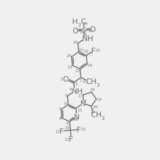 CC(C(=O)NCc1ccc(C(F)(F)F)nc1N1CCCC1C)c1ccc(CNS(C)(=O)=O)c(F)c1